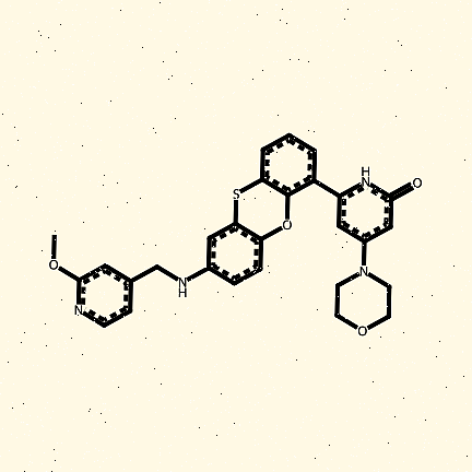 COc1cc(CNc2ccc3c(c2)Sc2cccc(-c4cc(N5CCOCC5)cc(=O)[nH]4)c2O3)ccn1